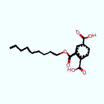 CCCCCCCCCOC(=O)c1cc(C(=O)O)ccc1C(=O)O